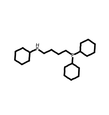 C1CCC(PCCCCP(C2CCCCC2)C2CCCCC2)CC1